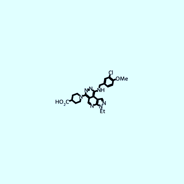 CCn1ncc2c3c(NCc4ccc(OC)c(Cl)c4)nnc(N4CCC(C(=O)O)CC4)c3cnc21